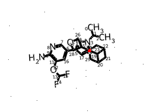 CC(C)n1nc(-c2cnc(N)c(OC(F)F)c2)cc1C1C2CC1CN(C1COC1)C2